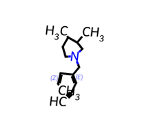 C#C/C=C(\C=C/C)CN1CCC(C)C(C)C1